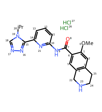 COc1cc2c(cc1C(=O)Nc1cccc(-c3nncn3C(C)C)n1)CNCC2.Cl.Cl